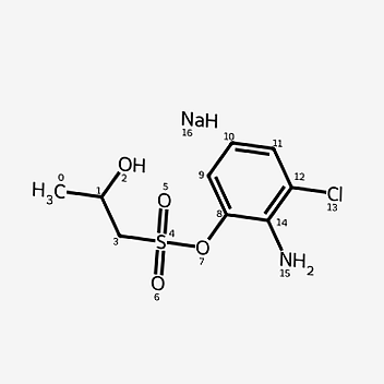 CC(O)CS(=O)(=O)Oc1cccc(Cl)c1N.[NaH]